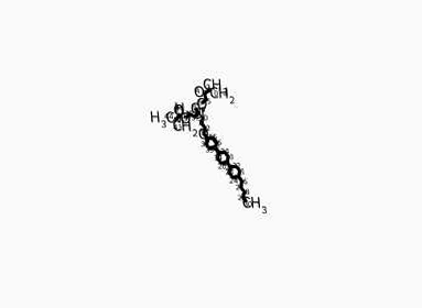 C=C(C)C(=O)COC[Si](C)(CCCOc1ccc(C2CCC(C3CCC(CCCCC)CC3)CC2)cc1)CCOC(=O)C(=C)C